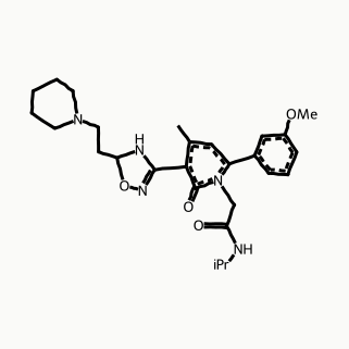 COc1cccc(-c2cc(C)c(C3=NOC(CCN4CCCCC4)N3)c(=O)n2CC(=O)NC(C)C)c1